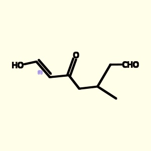 CC(CC=O)CC(=O)/C=C/O